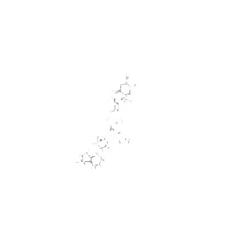 N#CCC1(n2cc(-c3ncnc4[nH]ccc34)cn2)CN(C2CCN(C(=O)Nc3ccc(F)cc3F)CC2)C1